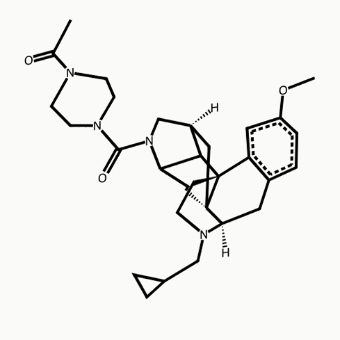 COc1ccc2c(c1)[C@]13CCN(CC4CC4)[C@H](C2)[C@]12CCC1C3[C@@H](CN1C(=O)N1CCN(C(C)=O)CC1)C2